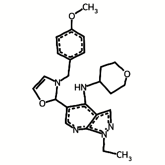 CCn1ncc2c(NC3CCOCC3)c(C3OC=CN3Cc3ccc(OC)cc3)cnc21